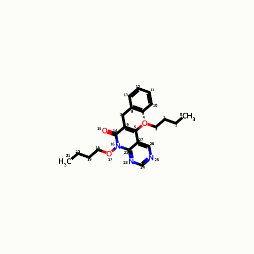 CCCCOc1c(Cc2ccccc2)c(=O)n(OCCCC)c2ncncc12